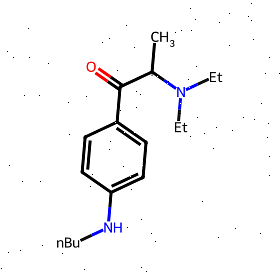 CCCCNc1ccc(C(=O)[C](C)N(CC)CC)cc1